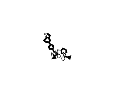 O=C(C1CC1)N1CCC[C@H](CN2C(=O)C3(CC3)N=C2c2ccc(-c3ccc4sccc4c3)cc2)C1